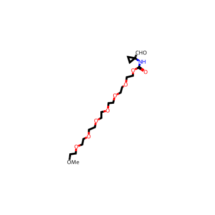 COCCOCCOCCOCCOCCOCCOCCOC(=O)NC1(C=O)CC1